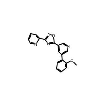 COc1ccccc1-c1cncc(-c2nc(-c3ccccn3)no2)c1